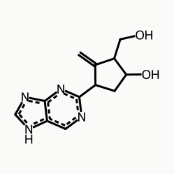 C=C1C(c2ncc3[nH]cnc3n2)CC(O)C1CO